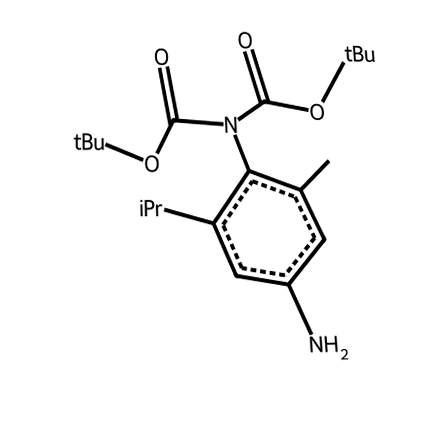 Cc1cc(N)cc(C(C)C)c1N(C(=O)OC(C)(C)C)C(=O)OC(C)(C)C